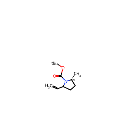 C=CC1CC[C@@H](C)N1C(=O)OC(C)(C)C